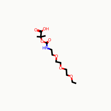 CCOCCOCCOCCNC(=O)OC(C)(C)C(=O)O